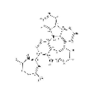 CC1CCC(C(C)C)=CC(c2ccc(-n3c4ccccc4c4ccccc43)c3c2oc2ccccc23)=N1